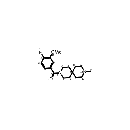 COc1cc(C(=O)N2CCC3(CCN(C)CC3)CC2)ccc1F